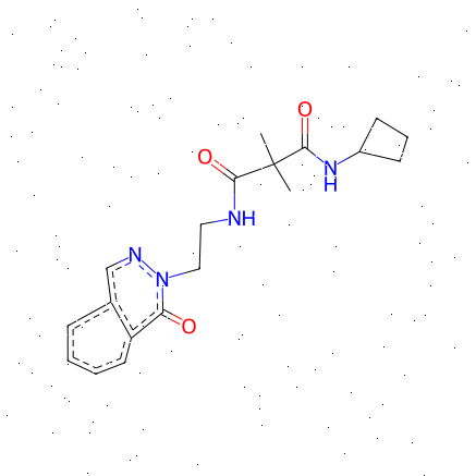 CC(C)(C(=O)NCCn1ncc2ccccc2c1=O)C(=O)NC1CCC1